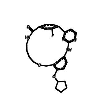 O=C1NCCCCOCc2cc(ccc2OC2CCCC2)Nc2nccc(n2)-c2ccc1cc2F